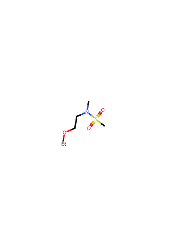 CCOCCN(C)S(C)(=O)=O